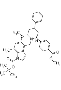 COC(=O)c1ccc([Si@@H]2C[C@@H](c3ccccc3)CCN2Cc2c(OC)cc(C)c3c2ccn3C(=O)OC(C)(C)C)cc1